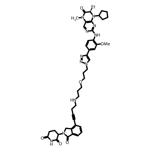 CC[C@@H]1C(=O)N(C)c2cnc(Nc3ccc(-c4cn(CCCOCCCNCCC#Cc5cccc6c5CN(C5CCC(=O)NC5=O)C6=O)nn4)cc3OC)nc2N1C1CCCC1